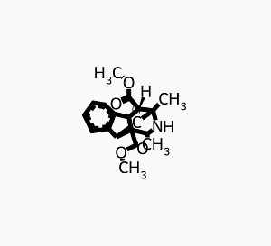 COC(=O)[C@H]1C2c3ccccc3C3CC1(C)NC(C)C32C(=O)OC